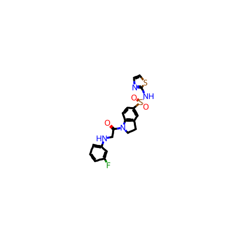 O=C(CNc1cccc(F)c1)N1CCc2cc(S(=O)(=O)Nc3nccs3)ccc21